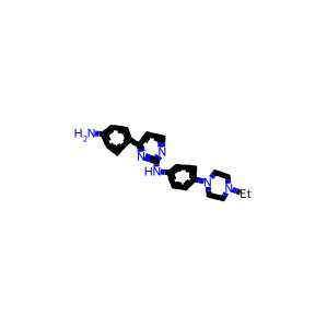 CCN1CCN(c2ccc(Nc3nccc(-c4ccc(N)cc4)n3)cc2)CC1